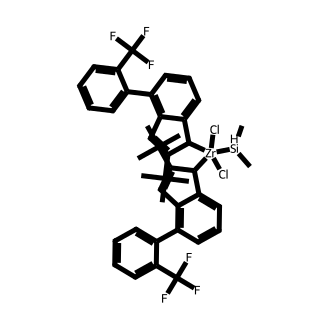 C[SiH](C)[Zr]([Cl])([Cl])([CH]1C(C(C)(C)C)=Cc2c(-c3ccccc3C(F)(F)F)cccc21)[CH]1C(C(C)(C)C)=Cc2c(-c3ccccc3C(F)(F)F)cccc21